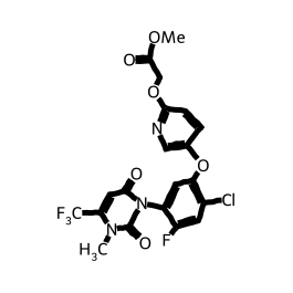 COC(=O)COc1ccc(Oc2cc(-n3c(=O)cc(C(F)(F)F)n(C)c3=O)c(F)cc2Cl)cn1